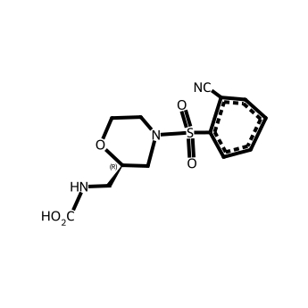 N#Cc1ccccc1S(=O)(=O)N1CCO[C@H](CNC(=O)O)C1